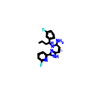 CCCC(NC(N)/C=C\C1=NC(c2cccc(F)n2)N1)c1cccc(F)c1